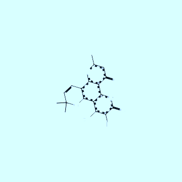 CCc1c(F)c(=O)oc2c1c1c(c3oc(C)cc(=O)c32)[C]=CC(C)(C)O1